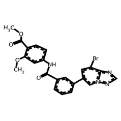 COC(=O)c1ccc(NC(=O)c2cccc(-c3cc(Br)c4ncnn4c3)c2)cc1OC